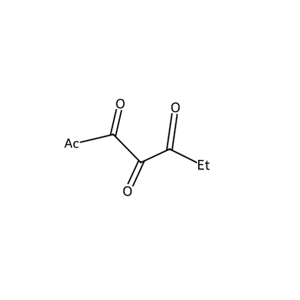 [CH2]C(=O)C(=O)C(=O)C(=O)CC